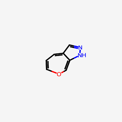 C1=COC=c2[nH]ncc2=C1